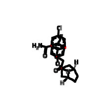 NC(=O)c1cc(Cl)ccc1OCC(=O)N1[C@@H]2CC[C@@H]1CC(Oc1ccc(F)cc1)C2